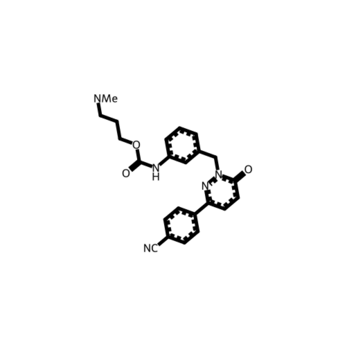 CNCCCOC(=O)Nc1cccc(Cn2nc(-c3ccc(C#N)cc3)ccc2=O)c1